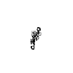 O=C(N[C@H]1CO[C@H]2[C@@H]1OC[C@@H]2n1cc(CC2CCCCC2)nn1)C1=CCC=C1